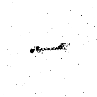 Cc1c(OCc2ccccc2)c(=O)ccn1CCOCCOCCOCCOCCCc1cc(C(C)(C)C)c(OC(=O)O)c(C(C)(C)C)c1